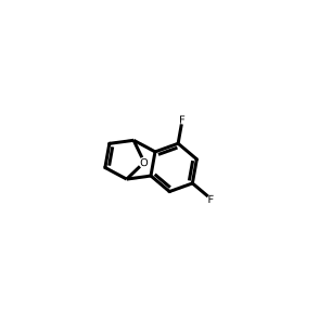 Fc1cc(F)c2c(c1)C1C=CC2O1